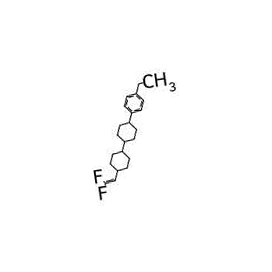 CCc1ccc(C2CCC(C3CCC(C=C(F)F)CC3)CC2)cc1